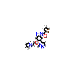 Cn1nccc1-c1cc(NC(=O)c2cccs2)ccc1OCCN1CCCC1